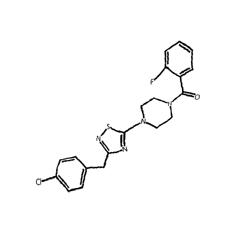 O=C(c1ccccc1F)N1CCN(c2nc(Cc3ccc(Cl)cc3)ns2)CC1